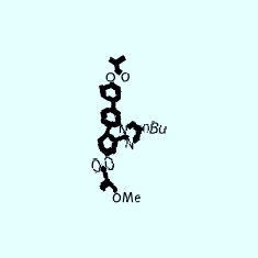 C=C(C)C(=O)Oc1ccc(-c2ccc(-c3ccc(OC(=O)C(=C)COC)cc3-c3ncc(CCCC)cn3)cc2)cc1